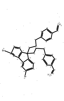 C=Cc1ccc(CCCC2(CCCc3ccc(C=C)cc3)c3ccc(Br)cc3-c3cc(Br)ccc32)cc1